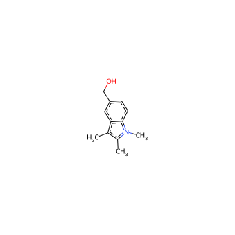 Cc1c(C)n(C)c2ccc(CO)cc12